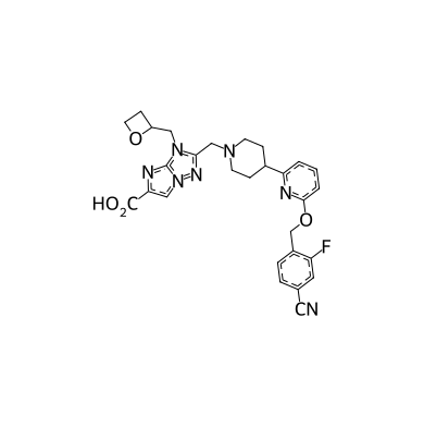 N#Cc1ccc(COc2cccc(C3CCN(Cc4nn5cc(C(=O)O)nc5n4CC4CCO4)CC3)n2)c(F)c1